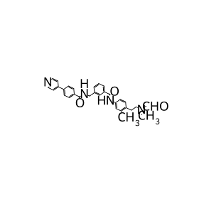 Cc1cc(NC(=O)c2cccc(CNC(=O)c3ccc(-c4ccncc4)cc3)c2)ccc1CCN(C)C=O